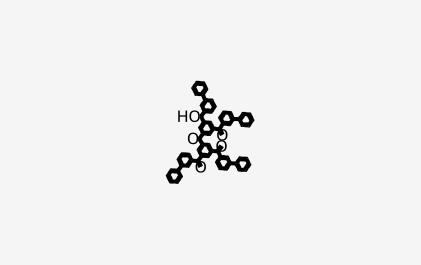 O=C(c1cc(C(=O)c2cccc(-c3ccccc3)c2)cc(C(=O)c2cc(C(=O)c3cccc(-c4ccccc4)c3)cc(C(O)c3cccc(-c4ccccc4)c3)c2)c1)c1cccc(-c2ccccc2)c1